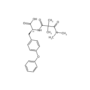 CN(C)C(=O)C(C)(C)C(=O)N[C@@H](Cc1ccc(Oc2ccccc2)cc1)C(=O)O